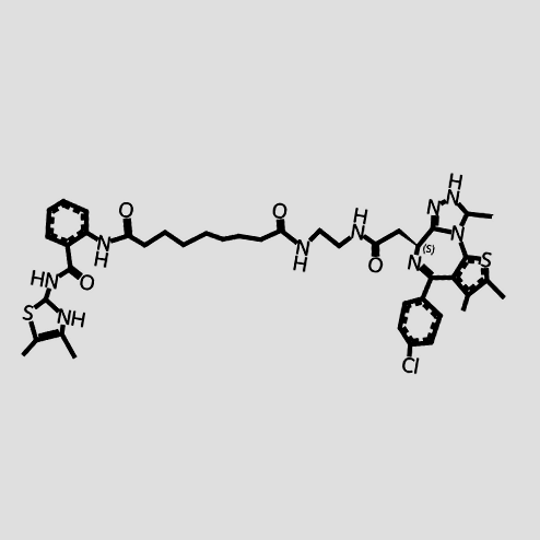 CC1=C(C)SC(NC(=O)c2ccccc2NC(=O)CCCCCCCC(=O)NCCNC(=O)C[C@@H]2N=C(c3ccc(Cl)cc3)c3c(sc(C)c3C)N3C2=NNC3C)N1